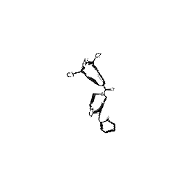 O=C(c1cc(Cl)nc(Cl)c1)N1C=COC(C2=CC=CCC2)=C1